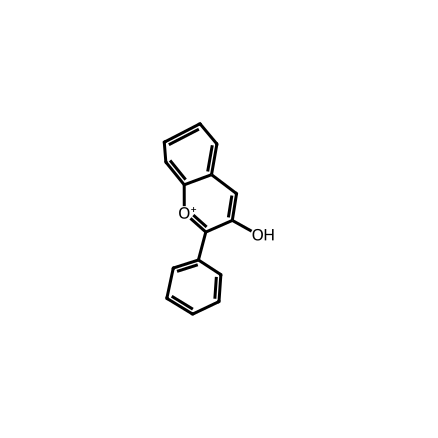 Oc1cc2ccccc2[o+]c1-c1ccccc1